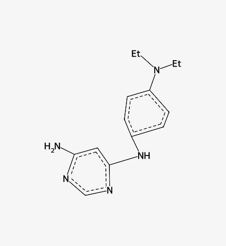 CCN(CC)c1ccc(Nc2cc(N)ncn2)cc1